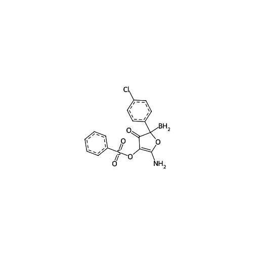 BC1(c2ccc(Cl)cc2)OC(N)=C(OS(=O)(=O)c2ccccc2)C1=O